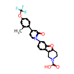 Cc1cc(OC(F)(F)F)ccc1-c1ccn(-c2ccc3c4c(oc3c2)CCN(C(=O)O)C4)c(=O)c1